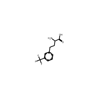 NC(CCc1cccc(C(F)(F)F)c1)C(=O)O